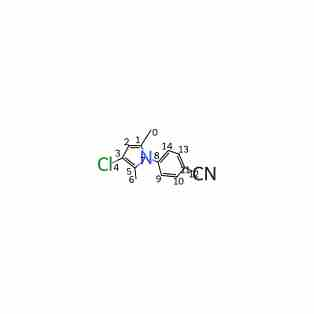 Cc1cc(Cl)c(C)n1-c1ccc(C#N)cc1